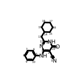 N#Cc1c(Nc2ccccc2)nc(CC2CCCCC2)[nH]c1=O